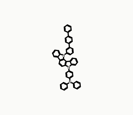 c1ccc(-c2ccc(-c3cccc(-n4c5ccccc5c5ccc6c(c7ccccc7n6-c6ccc(N(c7ccccc7)c7ccccc7)cc6)c54)c3)cc2)cc1